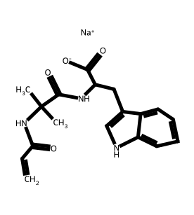 C=CC(=O)NC(C)(C)C(=O)NC(Cc1c[nH]c2ccccc12)C(=O)[O-].[Na+]